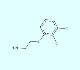 NCCOc1cccc(Cl)c1Cl